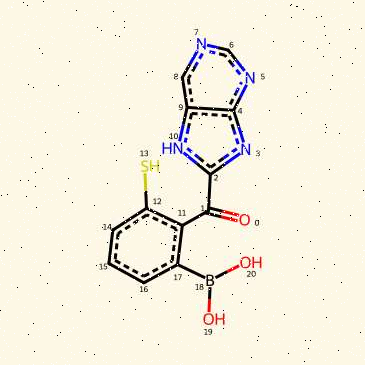 O=C(c1nc2ncncc2[nH]1)c1c(S)cccc1B(O)O